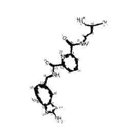 CC(C)CCNC(=O)c1cccc(C(=O)NCc2ccc3nc(N)sc3c2)n1